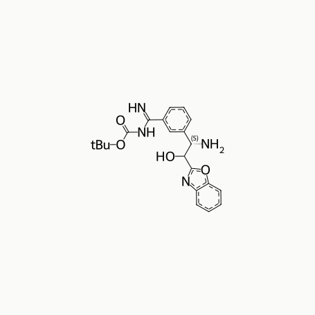 CC(C)(C)OC(=O)NC(=N)c1cccc([C@H](N)C(O)c2nc3ccccc3o2)c1